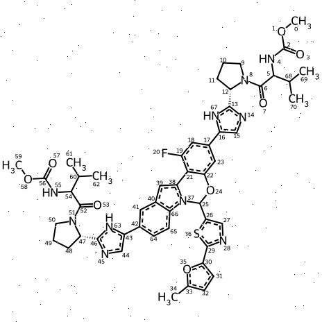 COC(=O)NC(C(=O)N1CCC[C@H]1c1ncc(-c2cc(F)c3c(c2)OC(c2cnc(-c4ccc(C)o4)s2)n2c-3cc3cc(-c4cnc([C@@H]5CCCN5C(=O)C(NC(=O)OC)C(C)C)[nH]4)ccc32)[nH]1)C(C)C